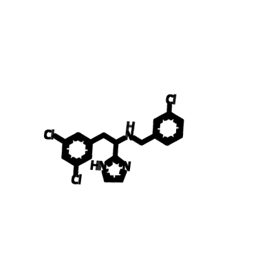 Clc1cccc(CNC(Cc2cc(Cl)cc(Cl)c2)c2ncc[nH]2)c1